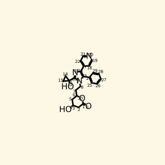 O=C1CC(O)CC(CCn2c(C3(O)CC3)nc(-c3ccncc3)c2-c2ccccc2)O1